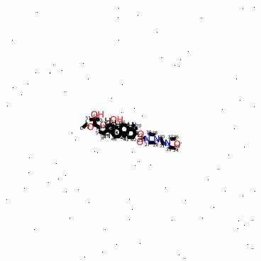 CCO[C@@H]([C@H]1C[C@@H](C)[C@H]2[C@H](O1)[C@H](O)[C@@]1(C)[C@@H]3CC[C@H]4C(C)(C)[C@@H](OC(=O)N5CCN(CCN6CCOCC6)CC5)CC[C@@]45C[C@@]35CC[C@]21C)C(C)(C)O